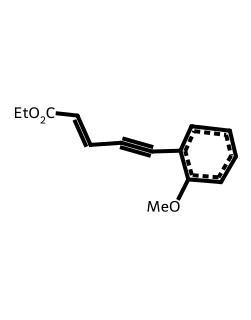 CCOC(=O)C=CC#Cc1ccccc1OC